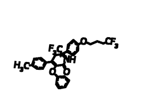 Cc1ccc(C2=C(Oc3ccccc3)C(=O)N[C@@](c3ccc(OCCCC(F)(F)F)cc3)(C(F)(F)F)C2)cc1